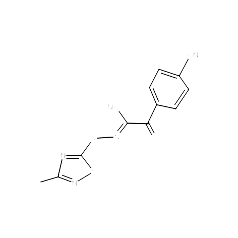 Cc1nsc(N/N=C(\C#N)C(=O)c2ccc(C#N)cc2)n1